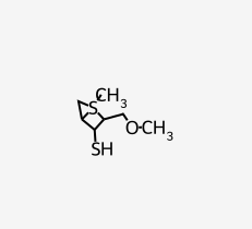 COCC1C(S)C2CS12C